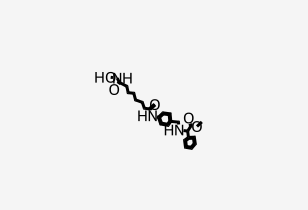 COC(=O)C(NCc1ccc(NC(=O)CCCCCCC(=O)NO)cc1)c1ccccc1